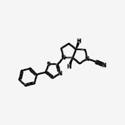 N#CN1C[C@H]2CCN(c3ncc(-c4ccccc4)s3)[C@H]2C1